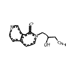 O=c1c2cnccc2ccn1CC(O)CO